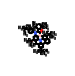 C=C/C=C\C(=C)c1cc(C(C)(C)C)cc(-c2ccccc2)c1N1c2ccc(C(C)(C)C)cc2B2c3oc4c(c3N(c3ccc(C(C)(C)C)cc3)c3cc(C)cc1c32)C(C)(C)CCC4(C)C